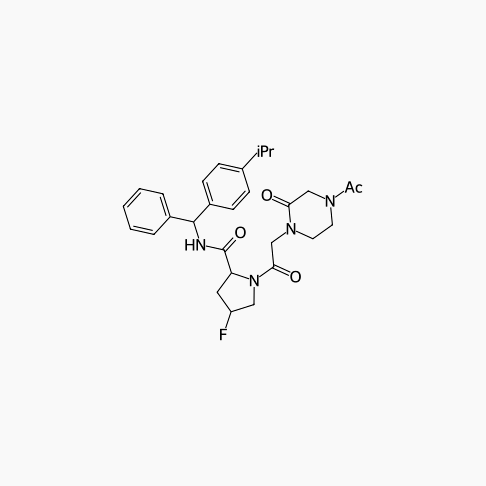 CC(=O)N1CCN(CC(=O)N2CC(F)CC2C(=O)NC(c2ccccc2)c2ccc(C(C)C)cc2)C(=O)C1